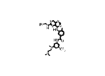 Cc1ccc(C(=O)Nc2cc(N(C)CCN(C)C)cc(C(F)(F)F)c2)cc1Nc1ncnc2cnc(NCC(C)C)nc12